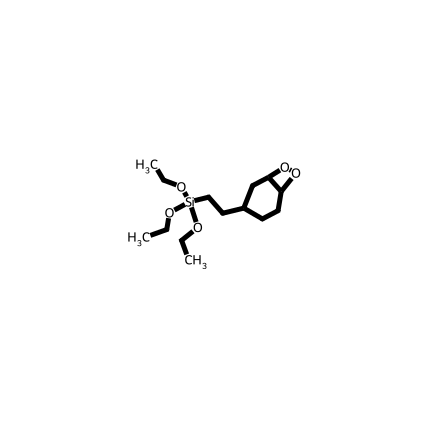 CCO[Si](CCC1CCC2OOC2C1)(OCC)OCC